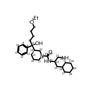 CCOCCCC[C@@](O)(c1ccccc1)[C@@H]1CCCN(C(=O)NC(CN)CC2CCCCC2)C1